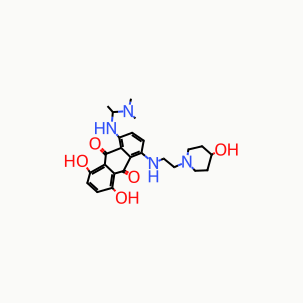 CC(Nc1ccc(NCCN2CCC(O)CC2)c2c1C(=O)c1c(O)ccc(O)c1C2=O)N(C)C